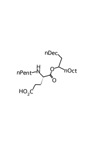 CCCCCCCCCCCC(CCCCCCCC)OC(=O)[C@H](CCC(=O)O)NCCCCC